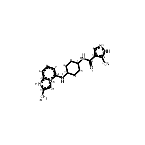 N#Cc1[nH]ncc1C(=O)NC1CCC(Nc2cccc3nc(C(F)(F)F)cn23)CC1